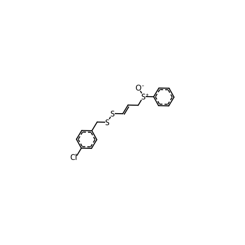 [O-][S+](C/C=C/SSCc1ccc(Cl)cc1)c1ccccc1